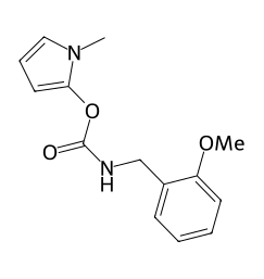 COc1ccccc1CNC(=O)Oc1cccn1C